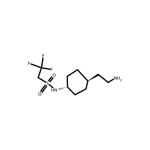 NCC[C@H]1CC[C@H](NS(=O)(=O)CC(F)(F)F)CC1